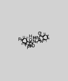 O=C(NCc1nc2ccccc2c(=O)[nH]1)[C@](O)(c1ccc(F)cc1)C(F)(F)F